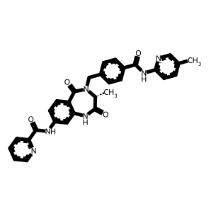 Cc1ccc(NC(=O)c2ccc(CN3C(=O)c4ccc(NC(=O)c5ccccn5)cc4NC(=O)[C@H]3C)cc2)nc1